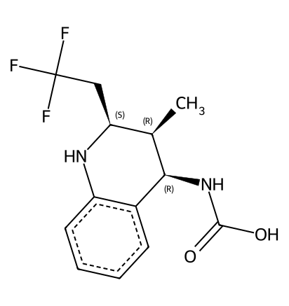 C[C@@H]1[C@H](CC(F)(F)F)Nc2ccccc2[C@@H]1NC(=O)O